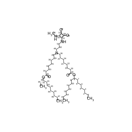 CCCCCCCCC(CCCCCCCC)OC(=O)CCCCCCCN(CCCCCCCC(=O)O[C@@H](CC)CCCCCCCC)CCCNc1c(NC)c(=O)c1=O